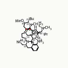 CC[C@H](C)[C@@H]([C@@H](CC(=O)N1CCC[C@H]1[C@H](OC)[C@@H](C)C(=O)N(C)[C@H](CC#N)Cc1cccc(N)c1)OC)N(C)C(=O)[C@@H](NC(=O)[C@@H](C(C)C)N(C)C)C(C)C